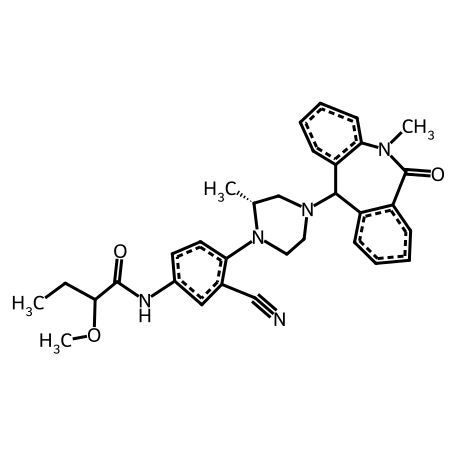 CCC(OC)C(=O)Nc1ccc(N2CCN(C3c4ccccc4C(=O)N(C)c4ccccc43)C[C@H]2C)c(C#N)c1